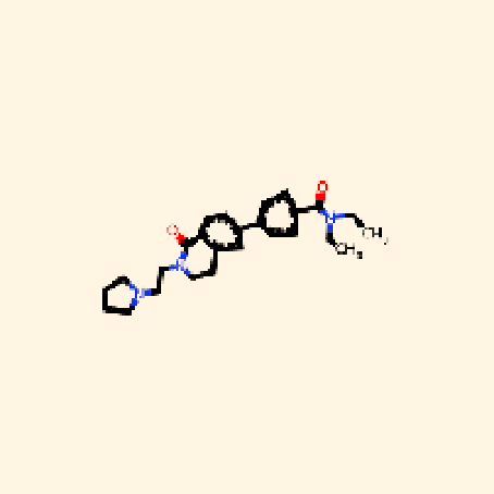 CCN(CC)C(=O)c1ccc(-c2ccc3c(c2)CCN(CCN2CCCC2)C3=O)cc1